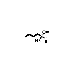 CCCC[Si](S)(OC)OC